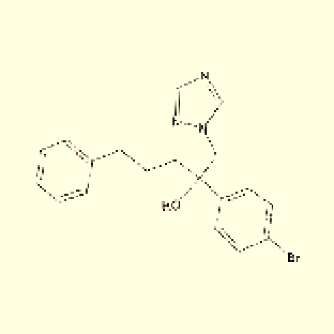 OC(CCCc1ccccc1)(Cn1cncn1)c1ccc(Br)cc1